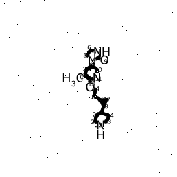 Cc1cc(N2CCNC2=O)cnc1OCCC1CC1C1CCNCC1